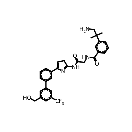 CC(C)(CN)c1cccc(C(=O)NCC(=O)NC2=NC(c3cccc(-c4cc(CO)cc(C(F)(F)F)c4)c3)=CC2)c1